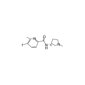 Cc1nc(C(=O)N[C@@H]2CCN(C)C2)ccc1I